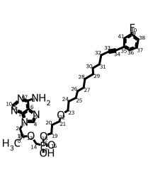 C[C@H](Cn1cnc2c(N)ncnc21)OCP(=O)(O)OCCCOCCCCCCCCCCC#Cc1cccc(F)c1